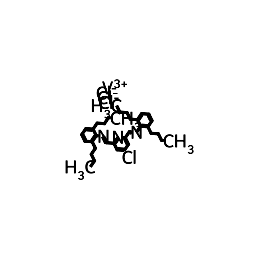 CCCCc1cccc(CCCC)c1N=Cc1cc(Cl)cc(C=Nc2c(CCCC)cccc2CCCC)n1.[Cl-].[Cl-].[Cl-].[V+3]